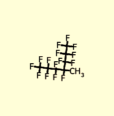 CC(F)(C(F)(F)C(F)(F)C(F)(F)F)C(F)(F)C(F)(F)C(F)(F)F